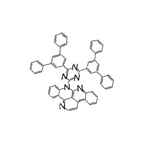 c1ccc(-c2cc(-c3ccccc3)cc(-c3nc(-c4cc(-c5ccccc5)cc(-c5ccccc5)c4)nc(N4c5ccccc5-c5nccc6c5c4nc4ccccc46)n3)c2)cc1